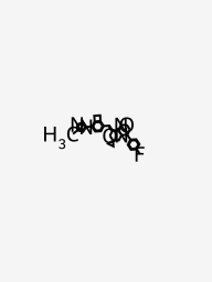 Cc1cn(-c2ccc(/C=C3\OC4(CC4)CN4C3=NOCC4c3ccc(F)cc3)c3c2CC3)cn1